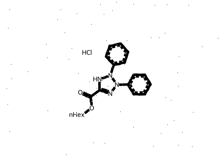 CCCCCCOC(=O)C1=NN(c2ccccc2)N(c2ccccc2)N1.Cl